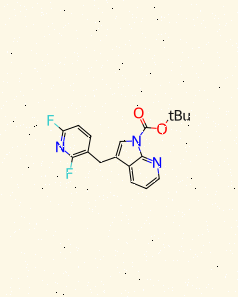 CC(C)(C)OC(=O)n1cc(Cc2ccc(F)nc2F)c2cccnc21